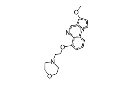 COc1ccn2c1cnc1c(OCCN3CCOCC3)cccc12